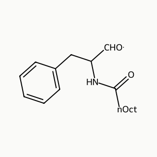 CCCCCCCCC(=O)NC([C]=O)Cc1ccccc1